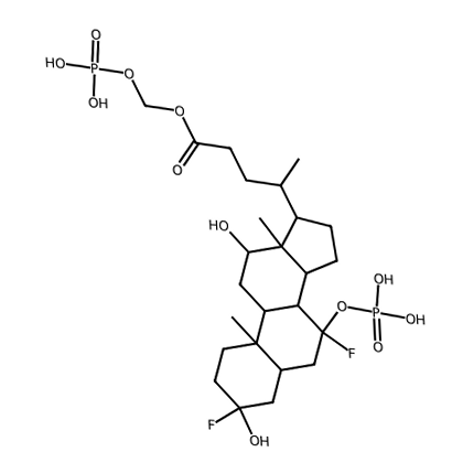 CC(CCC(=O)OCOP(=O)(O)O)C1CCC2C3C(CC(O)C12C)C1(C)CCC(O)(F)CC1CC3(F)OP(=O)(O)O